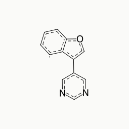 [c]1cccc2occ(-c3cncnc3)c12